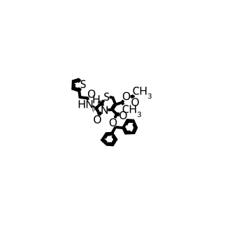 CC(=O)OC(C)C1=C(C(=O)OC(c2ccccc2)c2ccccc2)N2C(=O)[C@@H](NC(=O)Cc3cccs3)[C@H]2SC1